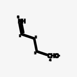 N=CCC[C]=O